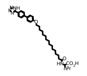 CCCC(NC(=O)CCCCCCCCCCCCCCCOc1ccc(-c2ccc(-c3nnn[nH]3)cc2)cc1)C(=O)O